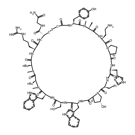 CCCC[C@H]1C(=O)N(C)[C@@H](CCCC)C(=O)N[C@@H](CCCNC(=N)N)C(=O)N[C@H](C(=O)NCC(N)=O)CSCC(=O)N[C@@H](Cc2ccc(O)cc2)C(=O)N(C)[C@@H](C)C(=O)N[C@@H](CCN)C(=O)N2CCC[C@H]2C(=O)N[C@@H](Cc2c[nH]cn2)C(=O)N[C@@H](CC(C)C)C(=O)N2C[C@H](O)C[C@H]2C(=O)N[C@@H](Cc2c[nH]c3ccccc23)C(=O)N[C@@H](CO)C(=O)N[C@@H](Cc2c[nH]c3ccccc23)C(=O)N1C